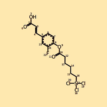 O=C(O)C=Cc1ccc(OC(=O)CCCCC[Si](Cl)(Cl)Cl)c(F)c1